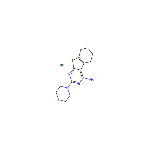 Cl.Nc1nc(N2CCSCC2)nc2sc3c(c12)CCCC3